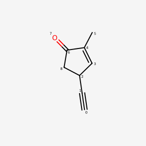 C#CC1C=C(C)C(=O)C1